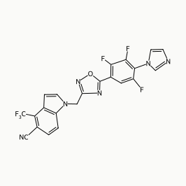 N#Cc1ccc2c(ccn2Cc2noc(-c3cc(F)c(-n4ccnc4)c(F)c3F)n2)c1C(F)(F)F